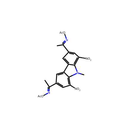 CC(=O)O/N=C(\C)c1cc([N+](=O)[O-])c2c(c1)c1cc(/C(C)=N/OC(C)=O)cc([N+](=O)[O-])c1n2C